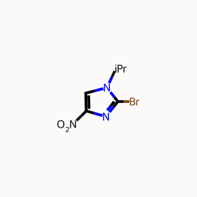 CC(C)n1cc([N+](=O)[O-])nc1Br